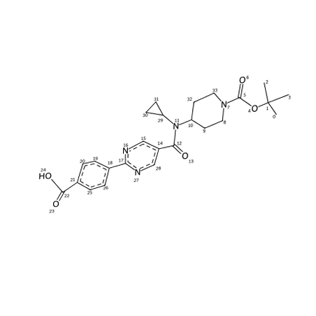 CC(C)(C)OC(=O)N1CCC(N(C(=O)c2cnc(-c3ccc(C(=O)O)cc3)nc2)C2CC2)CC1